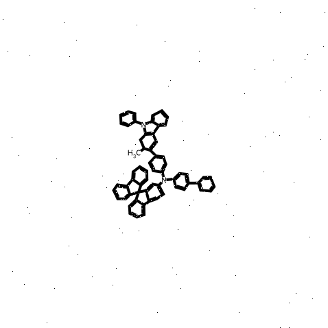 CC1Cc2c(c3ccccc3n2-c2ccccc2)C=C1c1ccc(N(c2ccc(-c3ccccc3)cc2)c2ccc3c(c2)C2(c4ccccc4-c4ccccc42)c2ccccc2-3)cc1